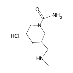 CNCC1[CH]CCN(C(N)=O)C1.Cl